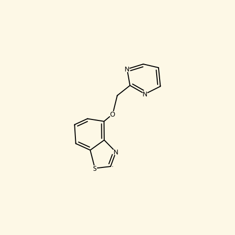 [c]1nc2c(OCc3ncccn3)cccc2s1